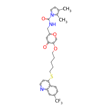 Cc1ccn(C(=O)NCc2cc(=O)c(OCCCCCSc3ccnc4cc(C(F)(F)F)ccc34)co2)c1C